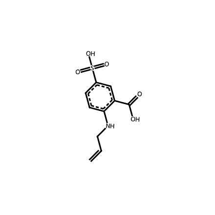 C=CCNc1ccc(S(=O)(=O)O)cc1C(=O)O